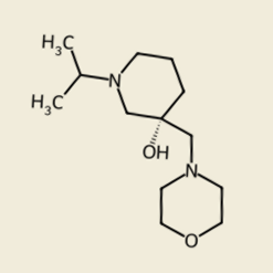 CC(C)N1CCC[C@@](O)(CN2CCOCC2)C1